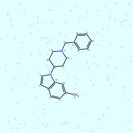 [CH2]c1ccc2ccn(C3CCN(Cc4ccccc4)CC3)c2c1